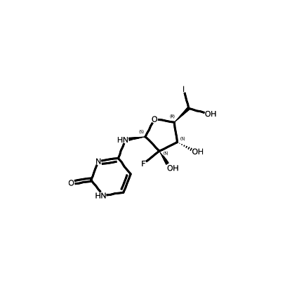 O=c1nc(N[C@H]2O[C@@H](C(O)I)[C@H](O)[C@]2(O)F)cc[nH]1